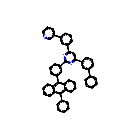 c1ccc(-c2cccc(-c3cc(-c4cccc(-c5cccnc5)c4)nc(-c4cccc(-c5c6ccccc6c(-c6ccccc6)c6ccccc56)c4)n3)c2)cc1